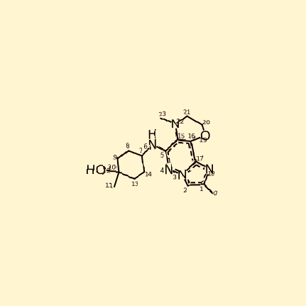 Cc1cn2nc(NC3CCC(C)(O)CC3)c3c(c2n1)OCCN3C